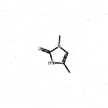 Cc1[c]n(C)c(=O)[nH]1